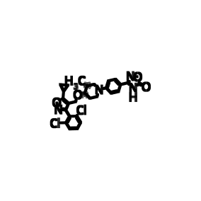 C[C@H]1CN(c2ccc(-c3noc(=O)[nH]3)cc2)CC[C@H]1OCc1c(-c2c(Cl)cccc2Cl)noc1C1CC1